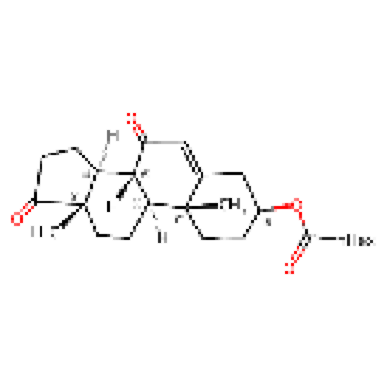 CCCCCCC(=O)O[C@H]1CC[C@@]2(C)C(=CC(=O)[C@@H]3[C@@H]2CC[C@]2(C)C(=O)CC[C@@H]32)C1